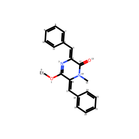 CCOc1n/c(=C\c2ccccc2)c(=O)n(C)/c1=C\c1ccccc1